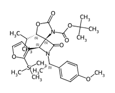 COc1ccc([C@H](C)N2C(=O)[C@]3([C@@H]2c2ccoc2[Si](C)(C)C)[C@H](C(C)C)OC(=O)N3C(=O)OC(C)(C)C)cc1